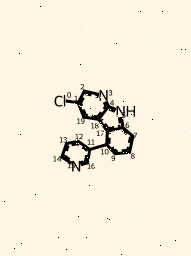 Clc1cnc2[nH]c3cccc(-c4cccnc4)c3c2c1